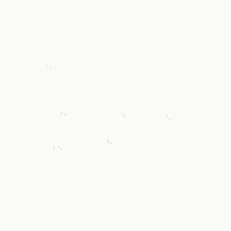 CC(=O)NC1CCN(c2cc(NCCN)c(N)c(C)n2)C1